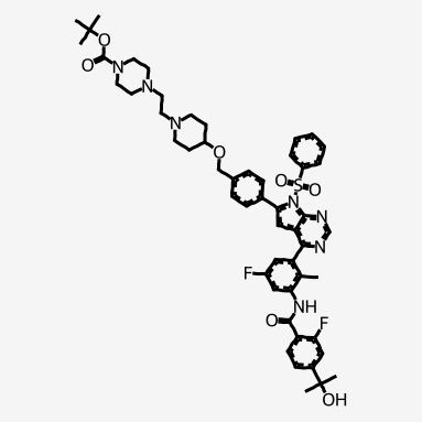 Cc1c(NC(=O)c2ccc(C(C)(C)O)cc2F)cc(F)cc1-c1ncnc2c1cc(-c1ccc(COC3CCN(CCN4CCN(C(=O)OC(C)(C)C)CC4)CC3)cc1)n2S(=O)(=O)c1ccccc1